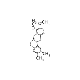 COc1ccc2c(c1OC)C=C1CCc3cc(C)c(C)cc3C1C2